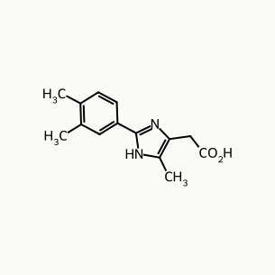 Cc1ccc(-c2nc(CC(=O)O)c(C)[nH]2)cc1C